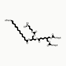 CCCCCC=CCC=CCCCCCCCC(=O)OCC(COC(=O)CCCC(COC(=O)CCCCCCC)COC(=O)CCCCCCC)COC(=O)OCCCN(CC)CC